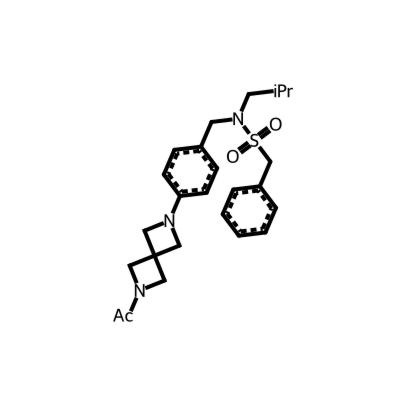 CC(=O)N1CC2(C1)CN(c1ccc(CN(CC(C)C)S(=O)(=O)Cc3ccccc3)cc1)C2